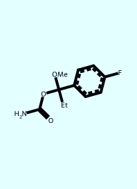 CCC(OC)(OC(N)=O)c1ccc(F)cc1